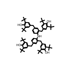 CC(C)(C)c1cc(Cc2ccc(Nc3ccc(Cc4cc(C(C)(C)C)c(O)c(C(C)(C)C)c4)cc3Cc3cc(C(C)(C)C)c(O)c(C(C)(C)C)c3)c(Cc3cc(C(C)(C)C)c(O)c(C(C)(C)C)c3)c2)cc(C(C)(C)C)c1O